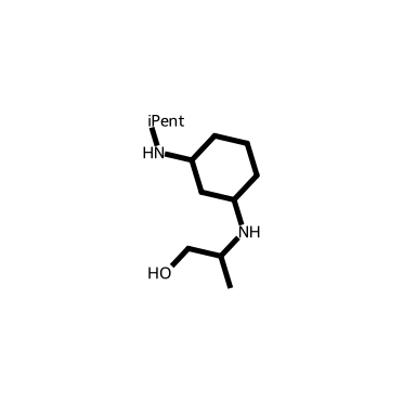 CCCC(C)NC1CCCC(NC(C)CO)C1